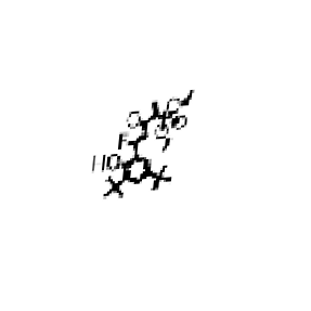 CCOP(=O)(OCC)C(C)C(=O)C=C(F)c1cc(C(C)(C)C)cc(C(C)(C)C)c1O